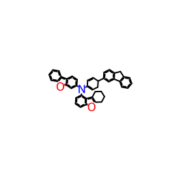 C1=CC(c2ccc3c(c2)-c2ccccc2C3)CC=C1N(c1ccc2c(c1)oc1ccccc12)c1cccc2oc3c(c12)CCCC3